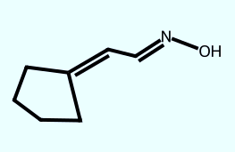 ON=CC=C1CCCC1